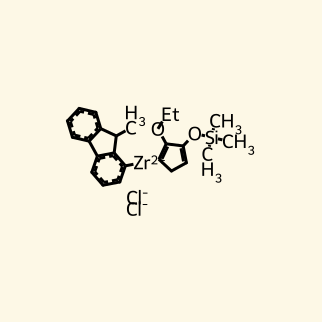 CCOC1=[C]([Zr+2][c]2cccc3c2C(C)c2ccccc2-3)CC=C1O[Si](C)(C)C.[Cl-].[Cl-]